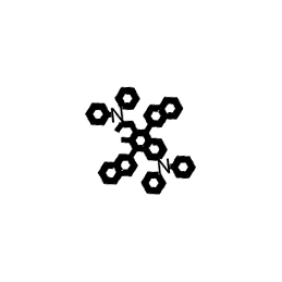 C/C(=C\c1c(C)c(-c2ccc3ccccc3c2)c2cc(N(c3ccccc3)c3ccccc3)ccc2c1-c1ccc2ccccc2c1)N(c1ccccc1)c1ccccc1